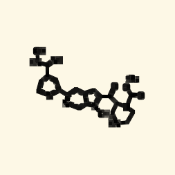 Cn1c(C(=O)C2CNCCN2C(=O)OC(C)(C)C)cc2cc(-c3cc(C(=N)NO)ccn3)ncc21